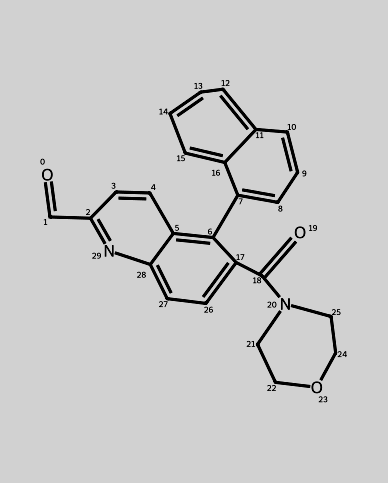 O=Cc1ccc2c(-c3cccc4ccccc34)c(C(=O)N3CCOCC3)ccc2n1